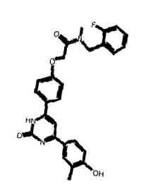 Cc1cc(-c2cc(-c3ccc(OCC(=O)N(C)Cc4ccccc4F)cc3)[nH]c(=O)n2)ccc1O